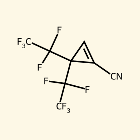 N#CC1=CC1(C(F)(F)C(F)(F)F)C(F)(F)C(F)(F)F